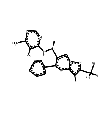 [2H]C([2H])([2H])c1nn2cc([C@H](C)Nc3ncnc(N)c3C#N)c(-c3ccccc3)nc2c1Cl